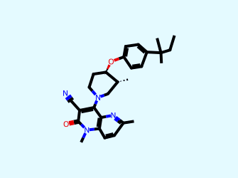 CCC(C)(C)c1ccc(O[C@@H]2CCN(c3c(C#N)c(=O)n(C)c4ccc(C)nc34)C[C@H]2C)cc1